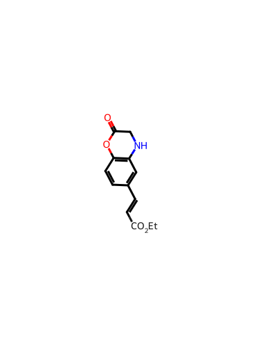 CCOC(=O)C=Cc1ccc2c(c1)NCC(=O)O2